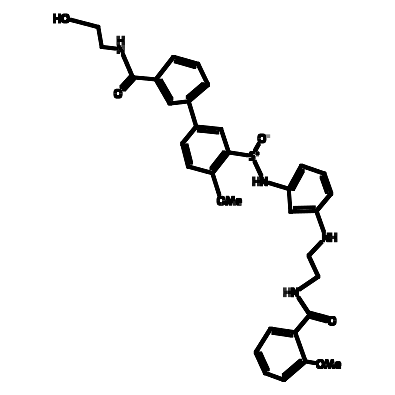 COc1ccccc1C(=O)NCCNc1cccc(N[S+]([O-])c2cc(-c3cccc(C(=O)NCCO)c3)ccc2OC)c1